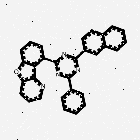 c1ccc(-c2nc(-c3ccc4ccccc4c3)nc(-c3cccc4oc5cccnc5c34)n2)cc1